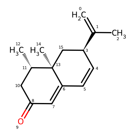 C=C(C)[C@H]1C=CC2=CC(=O)C[C@H](C)[C@@]2(C)C1